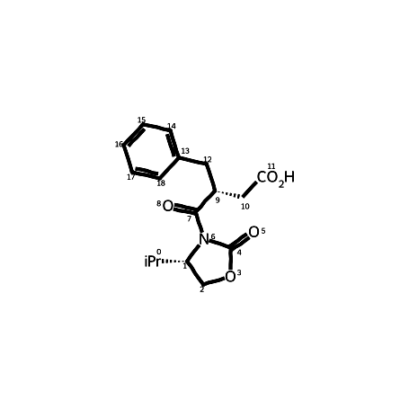 CC(C)[C@H]1COC(=O)N1C(=O)[C@@H](CC(=O)O)Cc1ccccc1